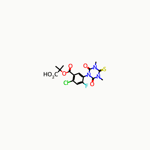 Cn1c(=S)n(C)c(=O)n(-c2cc(C(=O)OC(C)(C)C(=O)O)c(Cl)cc2F)c1=O